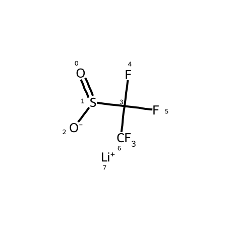 O=S([O-])C(F)(F)C(F)(F)F.[Li+]